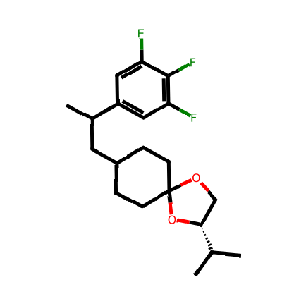 CC(CC1CCC2(CC1)OC[C@H](C(C)C)O2)c1cc(F)c(F)c(F)c1